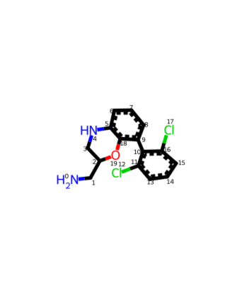 NCC1CNc2cccc(-c3c(Cl)cccc3Cl)c2O1